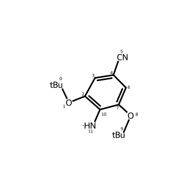 CC(C)(C)Oc1cc(C#N)cc(OC(C)(C)C)c1[NH]